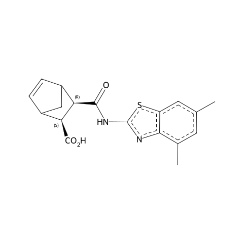 Cc1cc(C)c2nc(NC(=O)[C@@H]3C4C=CC(C4)[C@@H]3C(=O)O)sc2c1